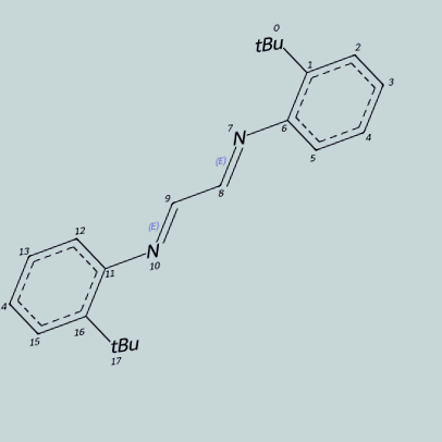 CC(C)(C)c1ccccc1/N=C/C=N/c1ccccc1C(C)(C)C